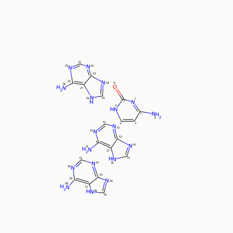 Nc1cc[nH]c(=O)n1.Nc1ncnc2nc[nH]c12.Nc1ncnc2nc[nH]c12.Nc1ncnc2nc[nH]c12